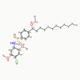 CCCCCCCCCCCC(OCC)c1ccc(S(=O)(=O)Nc2cc(OC)c(Cl)cc2OC)cc1